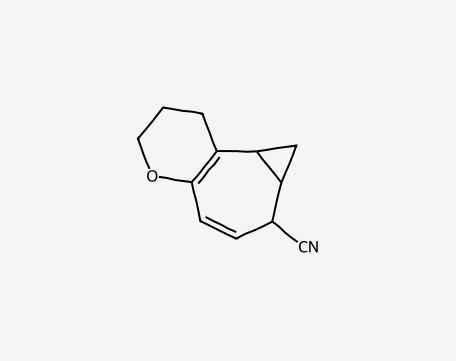 N#CC1C=CC2=C(CCCO2)C2CC12